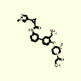 Cn1cc(C2CC2C(=O)Nc2cccc(-c3ccc(O[C@H]4CCN(C(=O)CO)C[C@H]4F)c(CN)c3)c2)cn1